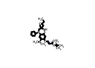 CCCCC1(CC)CN(c2ccccc2)c2cc(N(C)C)c(O/C=C/C(=O)OC(C)(C)C)cc2SN1